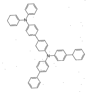 C1=CCC(c2ccc(N(C3=CC=C(c4ccc(N(C5=CCCC=C5)c5ccccc5)cc4)CC3)c3ccc(-c4ccccc4)cc3)cc2)C=C1